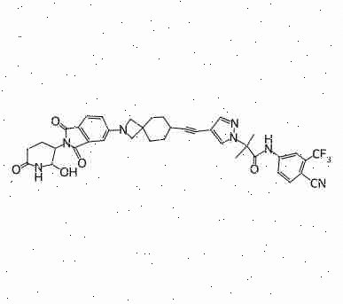 CC(C)(C(=O)Nc1ccc(C#N)c(C(F)(F)F)c1)n1cc(C#CC2CCC3(CC2)CN(c2ccc4c(c2)C(=O)N(C2CCC(=O)NC2O)C4=O)C3)cn1